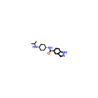 CC(C)N[C@H]1CC[C@H](NC(=O)c2ccc3[nH]ncc3c2)CC1